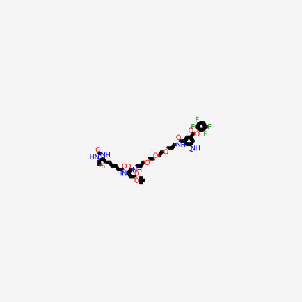 CNc1cc(C(=O)NCCCOCCOCCOCCCNC(=O)C(CC(=O)OC(C)(C)C)NC(=O)CCCCC2SCC3NC(=O)NC32)cc(C(=O)Oc2c(F)c(F)cc(F)c2F)c1